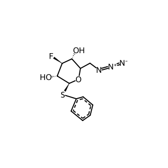 [N-]=[N+]=NCC1O[C@@H](Sc2ccccc2)[C@H](O)[C@@H](F)[C@@H]1O